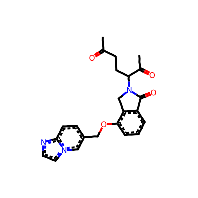 CC(=O)CCC(C(C)=O)N1Cc2c(OCc3ccc4nccn4c3)cccc2C1=O